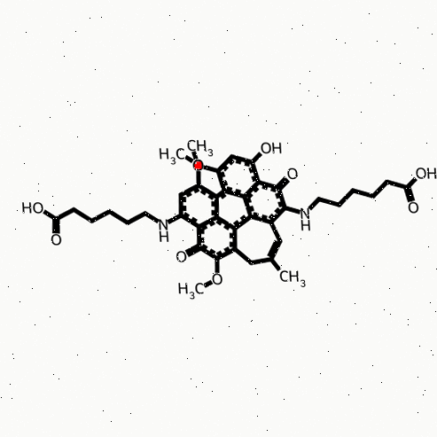 COc1c2c3c4c(c(NCCCCCC(=O)O)c(=O)c5c(O)cc(OC)c(c6c(OC)cc(NCCCCCC(=O)O)c(c1=O)c63)c54)C=C(C)C2